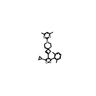 Cc1cc(C)nc(N2CCC3(C=C(c4c(-c5c(C)cccc5C)noc4C4CC4)C3)CC2)n1